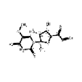 COc1cn([C@]2(C)O[C@H](C(=O)C=O)[C@@H](O)[C@H]2O)c(=O)[nH]c1=O